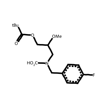 COC(COC(=O)C(C)(C)C)CN(Cc1ccc(F)cc1)C(=O)O